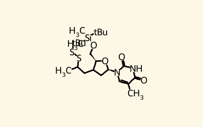 Cc1cn([C@H]2CC(CC(C)SSC(C)(C)C)[C@@H](CO[Si](C)(C)C(C)(C)C)O2)c(=O)[nH]c1=O